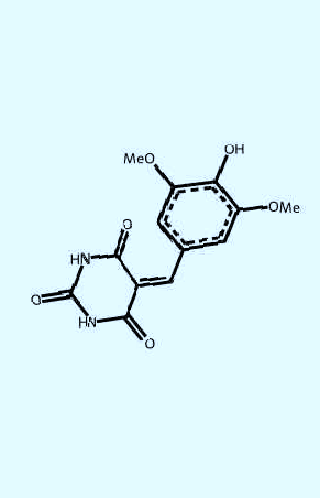 COc1cc(C=C2C(=O)NC(=O)NC2=O)cc(OC)c1O